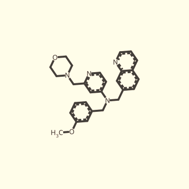 COc1cccc(CN(Cc2ccc3cccnc3c2)c2ccnc(CN3CCOCC3)c2)c1